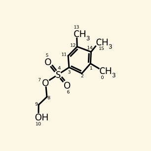 Cc1cc(S(=O)(=O)OCCO)cc(C)c1C